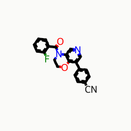 N#Cc1ccc(-c2cncc3c2OCCN3C(=O)c2ccccc2F)cc1